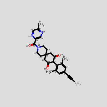 CC#Cc1cc(C)c(C2C(=O)CC3(CCN(C(=O)c4cnc(C)cn4)CC3)CC2=O)c(C)c1